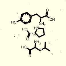 CC(C)CC(N)C(=O)O.NC(Cc1ccc(O)cc1)C(=O)O.O=C(O)[C@H]1CCCN1